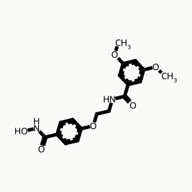 COc1cc(OC)cc(C(=O)NCCOc2ccc(C(=O)NO)cc2)c1